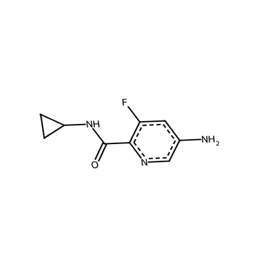 Nc1cnc(C(=O)NC2CC2)c(F)c1